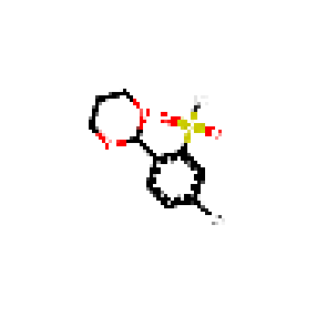 CCS(=O)(=O)c1cc(C#N)ccc1C1OCCCO1